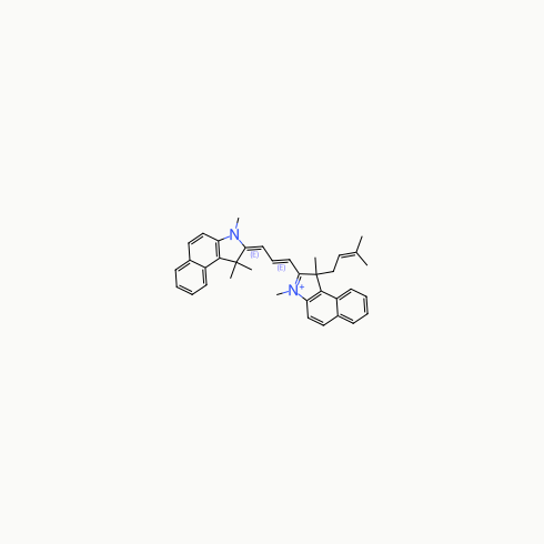 CC(C)=CCC1(C)C(/C=C/C=C2/N(C)c3ccc4ccccc4c3C2(C)C)=[N+](C)c2ccc3ccccc3c21